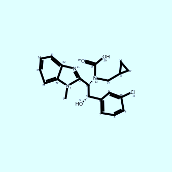 Cn1c([C@@H]([C@@H](O)c2cccc(Cl)c2)N(CC2CC2)C(=O)O)nc2ccccc21